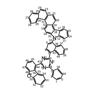 c1ccc(-c2nc(-c3ccc(-n4c5ccccc5c5c6ccc7ccc8ccccc8c7c6ccc54)c4ccccc34)nc(-c3cccc4oc5ccccc5c34)n2)cc1